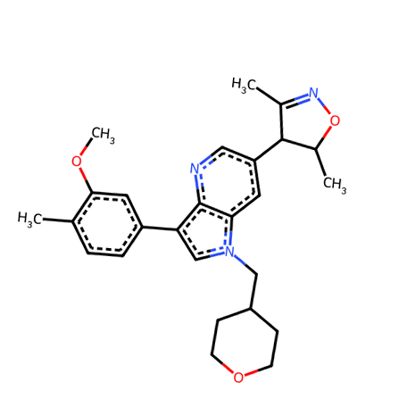 COc1cc(-c2cn(CC3CCOCC3)c3cc(C4C(C)=NOC4C)cnc23)ccc1C